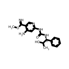 COC(=N)c1cnc(NC(=O)N[C@@H](c2ccccc2)C(C)O)cc1N